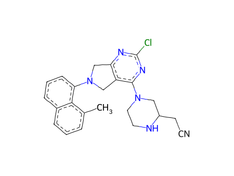 Cc1cccc2cccc(N3Cc4nc(Cl)nc(N5CCNC(CC#N)C5)c4C3)c12